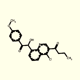 CCCC(=O)c1cnc2c(C(O)C(=O)c3ccc(OC)cc3)cccc2c1Cl